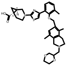 Cc1cc(COc2c(C)cccc2-c2csc(N3CC[C@@]4(C(=O)O)C[C@H]4C3)n2)c(C)c2c1CN(CC1COCCO1)CC2